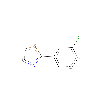 Clc1[c]ccc(-c2nccs2)c1